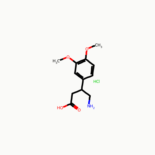 COc1ccc(C(CN)CC(=O)O)cc1OC.Cl